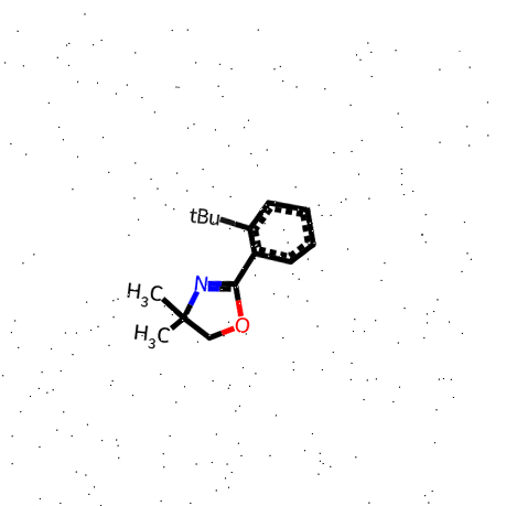 CC1(C)COC(c2ccccc2C(C)(C)C)=N1